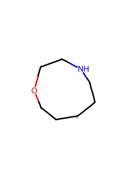 [CH]1CCNCCOCC1